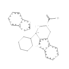 NC(=O)[C@H]1Cc2c([nH]c3ccccc23)[C@@](c2nc3ccccc3s2)(C2CCCCC2)N1